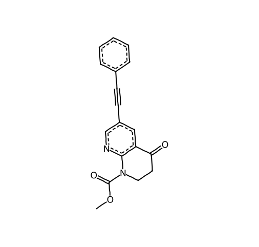 COC(=O)N1CCC(=O)c2cc(C#Cc3ccccc3)cnc21